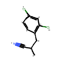 CC(C#N)Cc1ccc(Cl)cc1Cl